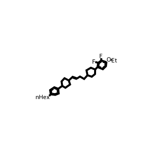 CCCCCCc1ccc(C2CCC(/C=C/CCC3CCC(c4ccc(OCC)c(F)c4F)CC3)CC2)cc1